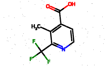 Cc1c(C(=O)O)ccnc1C(F)(F)F